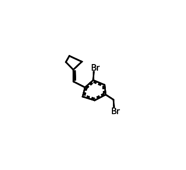 BrCc1ccc(C=C2CCC2)c(Br)c1